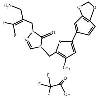 Cc1cc(-c2ccc3c(c2)OCO3)sc1Cn1cnn(CC(CN)=C(F)F)c1=O.O=C(O)C(F)(F)F